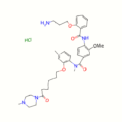 COc1cc(C(=O)N(C)c2ccc(C)cc2OCCCCCC(=O)N2CCN(C)CC2)ccc1NC(=O)c1ccccc1OCCCN.Cl